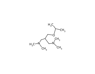 CC(C)OCC(CN(C)C)CN(C)C